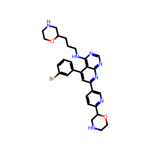 Brc1cccc(-c2cc(-c3ccc(C4CNCCO4)nc3)nc3ncnc(NCCCC4CNCCO4)c23)c1